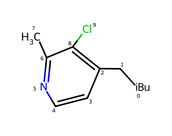 C[CH]C(C)Cc1ccnc(C)c1Cl